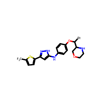 CCC(Oc1ccc(Nc2cc(-c3ccc(C(F)(F)F)s3)n[nH]2)cc1)C1COCCN1